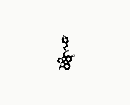 O=C(CNCCc1ccncc1)N1CCN2C(=O)c3ccccc3C12c1ccc(Cl)cc1